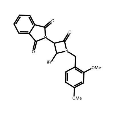 COc1ccc(CN2C(=O)C(N3C(=O)c4ccccc4C3=O)C2C(C)C)c(OC)c1